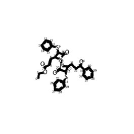 CCOC(=O)C=CC1C(Sc2ccccc2)C(=O)N1N1C(=O)C(Sc2ccccc2)C1CCC(=O)c1ccccc1